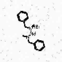 Br.C[N](Cc1ccccc1)[Nd][N](C)Cc1ccccc1